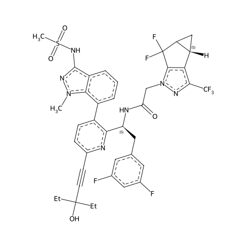 CCC(O)(C#Cc1ccc(-c2cccc3c(NS(C)(=O)=O)nn(C)c23)c([C@H](Cc2cc(F)cc(F)c2)NC(=O)Cn2nc(C(F)(F)F)c3c2C(F)(F)C2C[C@H]32)n1)CC